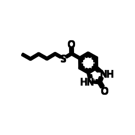 CCCCCSC(=O)c1ccc2[nH]c(=O)[nH]c2c1